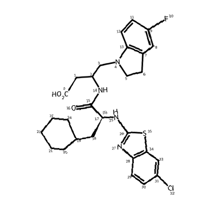 O=C(O)CC(CN1CCc2cc(F)ccc21)NC(=O)[C@H](CC1CCCCC1)Nc1nc2ccc(Cl)cc2s1